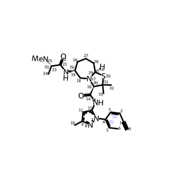 C#C/C=C\C(=C/C)n1nc(C)cc1NC(=O)[C@H]1N2C[C@@H](NC(=O)[C@H](C)NC)CCC[C@H]2SC1(C)C